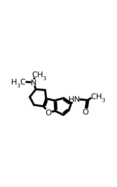 CC(=O)Nc1ccc2oc3c(c2c1)CC(N(C)C)CC3